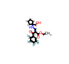 CCOC(=O)/C(=C/NC1(CO)CCCC1)C(=O)c1cc(F)c(F)c(F)c1F